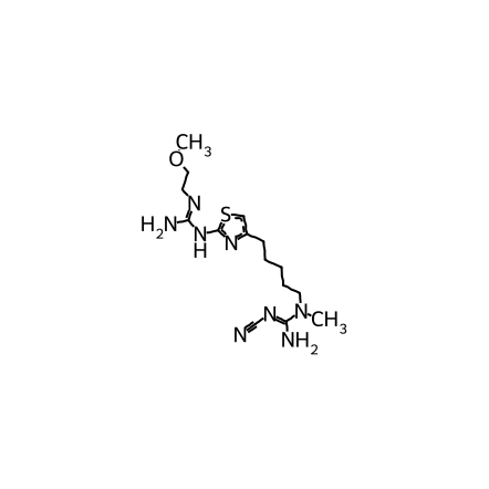 COCCN=C(N)Nc1nc(CCCCCN(C)C(N)=NC#N)cs1